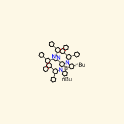 CCCCc1ccc2c(c1)N(c1cc(-c3ccccc3)cc(-c3ccccc3)c1)c1cc(-c3cc(-c4cc(-c5ccccc5)cc(-c5ccccc5)c4)nc(-c4cc(-c5ccccc5)cc(-c5ccccc5)c4)n3)cc3c1B2c1ccc(CCCC)cc1N3c1cc(-c2ccccc2)cc(-c2ccccc2)c1